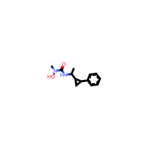 CC(NC(=O)N(C)O)C1CC1c1ccccc1